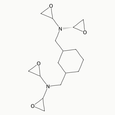 C1CC(CN(C2CO2)C2CO2)CC(CN(C2CO2)[C@@H]2CO2)C1